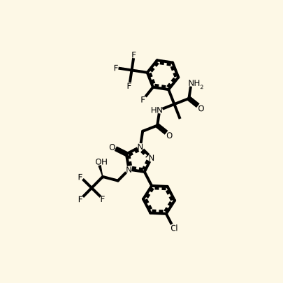 CC(NC(=O)Cn1nc(-c2ccc(Cl)cc2)n(C[C@H](O)C(F)(F)F)c1=O)(C(N)=O)c1cccc(C(F)(F)F)c1F